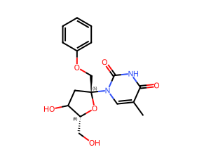 Cc1cn([C@@]2(COc3ccccc3)CC(O)[C@@H](CO)O2)c(=O)[nH]c1=O